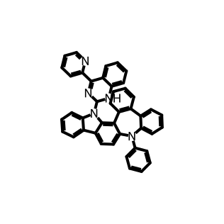 C1=CC2=C(CC1)c1c(ccc3c4ccccc4n(C4N=C(c5ccccn5)c5ccccc5N4)c13)N(c1ccccc1)c1ccccc12